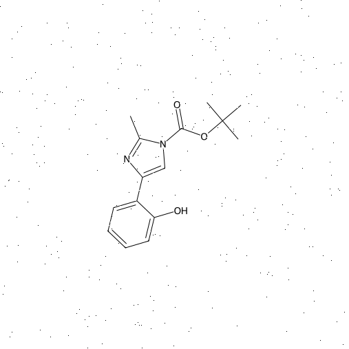 Cc1nc(-c2ccccc2O)cn1C(=O)OC(C)(C)C